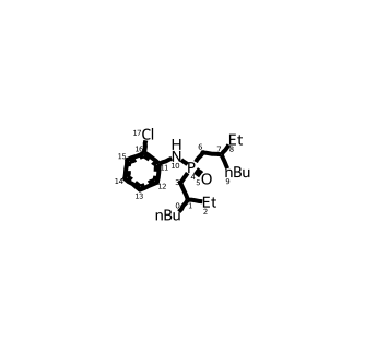 CCCCC(CC)CP(=O)(CC(CC)CCCC)Nc1ccccc1Cl